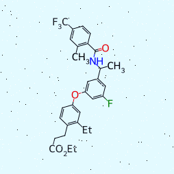 CCOC(=O)CCc1ccc(Oc2cc(F)cc(C(C)NC(=O)c3ccc(C(F)(F)F)cc3C)c2)cc1CC